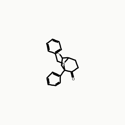 N#CC1CC2(c3ccccc3)C(=O)CCC1N2Cc1ccccc1